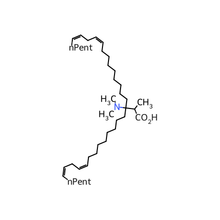 CCCCC/C=C\C/C=C\CCCCCCCCC(CCCCCCCC/C=C\C/C=C\CCCCC)(C(C)C(=O)O)N(C)C